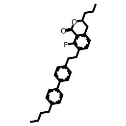 CCCCc1ccc(-c2ccc(CCc3ccc4c(c3F)C(=O)OC(CCC)C4)cc2)cc1